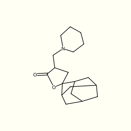 O=C1OC2(CC1CN1CCCCC1)C1CC3CC(C1)CC2C3